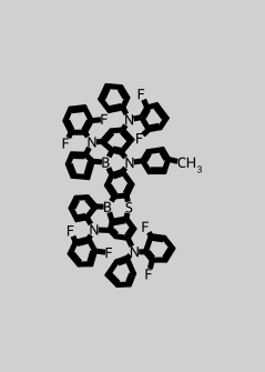 Cc1ccc(N2c3cc4c(cc3B3c5ccccc5N(c5c(F)cccc5F)c5cc(N(c6ccccc6)c6c(F)cccc6F)cc2c53)B2c3ccccc3N(c3c(F)cccc3F)c3cc(N(c5ccccc5)c5c(F)cccc5F)cc(c32)S4)cc1